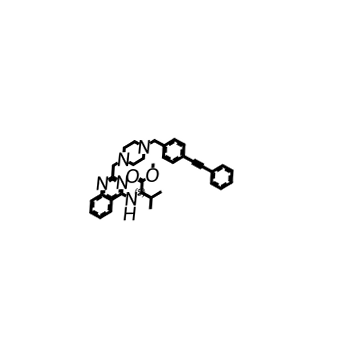 COC(=O)[C@@H](Nc1nc(CN2CCN(Cc3ccc(C#Cc4ccccc4)cc3)CC2)nc2ccccc12)C(C)C